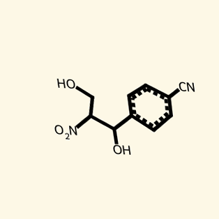 N#Cc1ccc(C(O)C(CO)[N+](=O)[O-])cc1